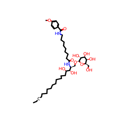 CCCCCCCCCCCCCC[C@@H](O)[C@@H](O)[C@H](CO[C@H]1O[C@H](CO)[C@H](O)[C@H](O)[C@H]1O)NC(=O)CCCCCCCCNC(=O)c1ccc(OC)cc1